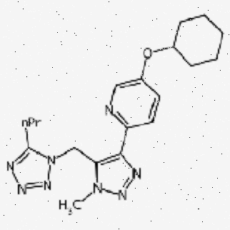 CCCc1nnnn1Cc1c(-c2ccc(OC3CCCCC3)cn2)nnn1C